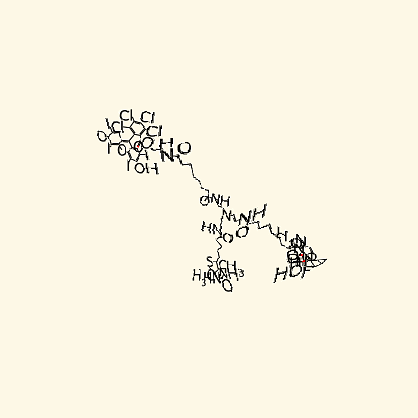 C[C@@]12CSC(CCCCC(=O)NCCN(CCNC(=O)CCCCCCC(=O)NCCOC(=O)c3c(Cl)c(Cl)c(Cl)c(Cl)c3-c3c4cc(I)c(=O)c(I)c-4oc4c(I)c(O)c(I)cc34)CCNC(=O)CCCCCCC(=O)OC[C@H]3OC45CC4C(F)(C3O)[C@@H]5n3ccc(N)nc3=O)[C@]1(C)NC(=O)N2